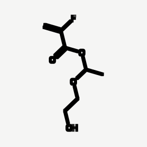 C=C(F)C(=O)OC(C)OCCO